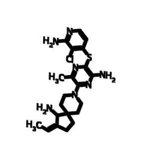 CC=C1CCC2(CCN(c3nc(N)c(Sc4ccnc(N)c4Cl)nc3C)CC2)C1N